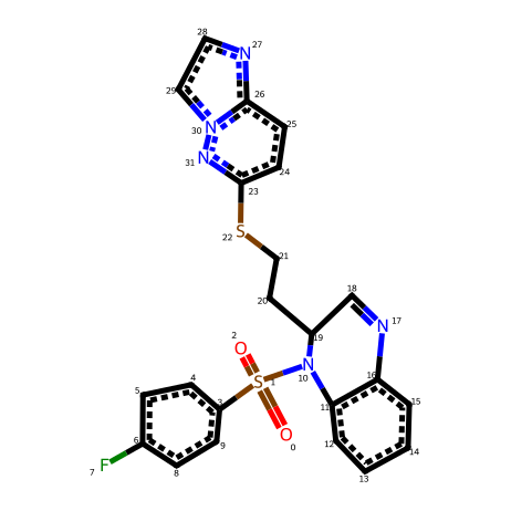 O=S(=O)(c1ccc(F)cc1)N1c2ccccc2N=CC1CCSc1ccc2nccn2n1